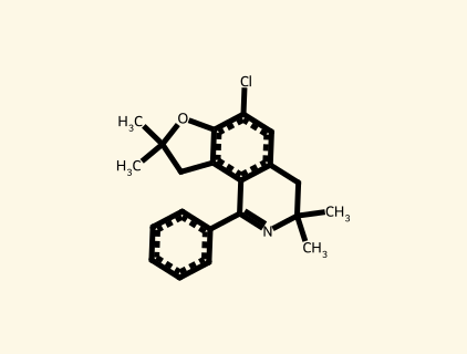 CC1(C)Cc2cc(Cl)c3c(c2C(c2ccccc2)=N1)CC(C)(C)O3